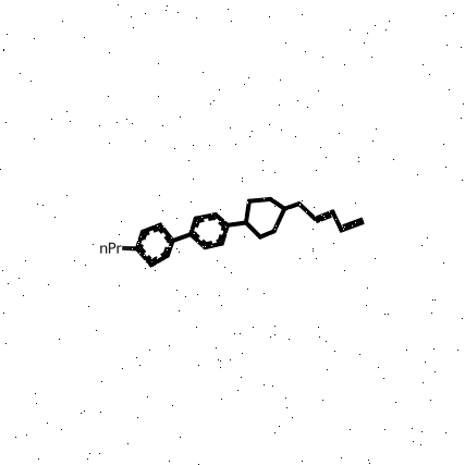 C=C/C=C/CC1CCC(c2ccc(-c3ccc(CCC)cc3)cc2)CC1